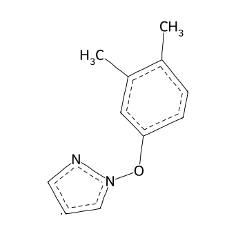 Cc1ccc(On2c[c]cn2)cc1C